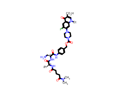 CCn1cc(C(=O)O)c(=O)c2cc(F)c(N3CCN(C(=O)OCc4ccc(NC(=O)[C@H](CN)NC(=O)[C@@H](NC(=O)CCCC(=O)N(C)C)C(C)C)cc4)CC3)cc21